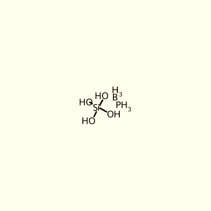 B.O[Si](O)(O)O.P